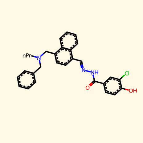 CCCN(Cc1ccccc1)Cc1ccc(/C=N/NC(=O)c2ccc(O)c(Cl)c2)c2ccccc12